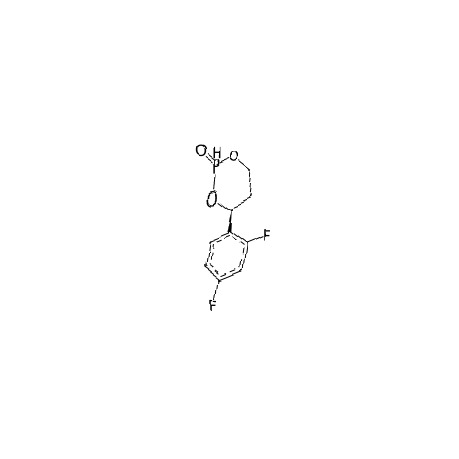 O=[PH]1OCC[C@@H](c2ccc(F)cc2F)O1